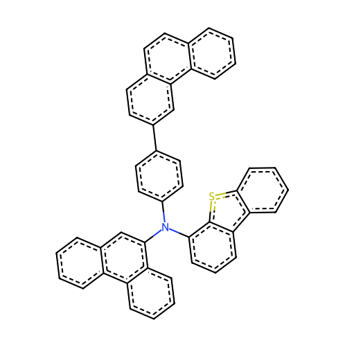 c1ccc2c(c1)ccc1ccc(-c3ccc(N(c4cc5ccccc5c5ccccc45)c4cccc5c4sc4ccccc45)cc3)cc12